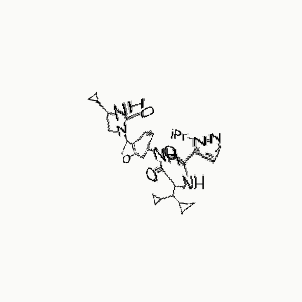 CC(C)n1nccc1C(=O)N[C@H](C(=O)Nc1ccc2c(c1)OC[C@H]2N1C[C@@H](C2CC2)NC1=O)C(C1CC1)C1CC1